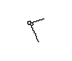 CCCCCCCCCCCCC1CC(CCCCCCCC)c2ccccc21